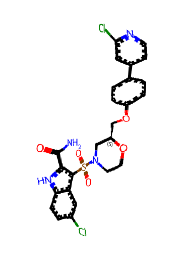 NC(=O)c1[nH]c2ccc(Cl)cc2c1S(=O)(=O)N1CCO[C@H](COc2ccc(-c3ccnc(Cl)c3)cc2)C1